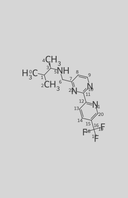 CC(C)[C@@H](C)NCc1ccnc(-c2ccc(C(F)(F)F)cn2)n1